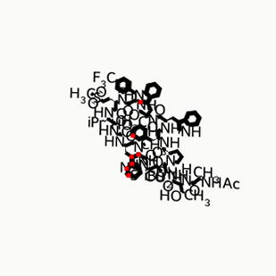 CC[C@H](C)[C@H](NC(=O)[C@H](NC(=O)[C@H](C)NC(C)=O)[C@@H](C)O)C(=O)N1CCC[C@H]1C(=O)N[C@H](Cc1ccc(O)cc1)C(=O)N[C@H](Cc1c[nH]c2ccccc12)C(=O)N[C@@](C)(Cc1c[nH]c2ccccc12)C(=O)N[C@@H](Cc1ccc(C(F)(F)F)cc1)C(=O)N[C@@H](CCS(C)(=O)=O)C(=O)N[C@H](C(=O)NC(=O)N[C@@H](Cc1c[nH]c2ccccc12)C(=O)N(C)[C@@H](Cc1cscn1)C(=O)N[C@@H](CO)C(=O)O)C(C)C